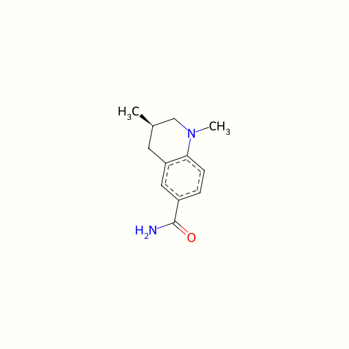 C[C@@H]1Cc2cc(C(N)=O)ccc2N(C)C1